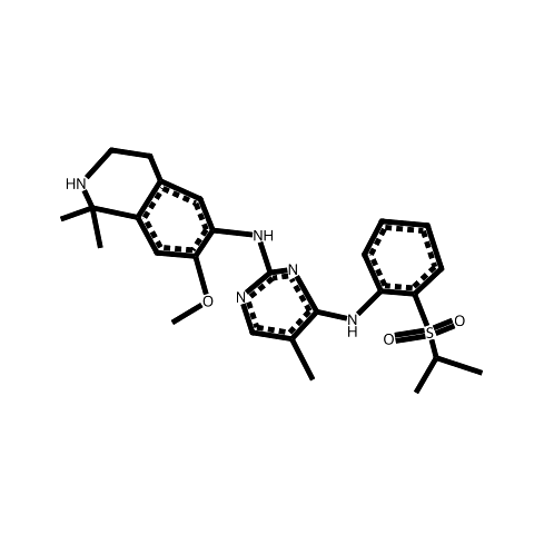 COc1cc2c(cc1Nc1ncc(C)c(Nc3ccccc3S(=O)(=O)C(C)C)n1)CCNC2(C)C